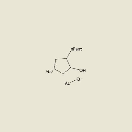 CC(=O)[O-].CCCCCC1CCCC1O.[Na+]